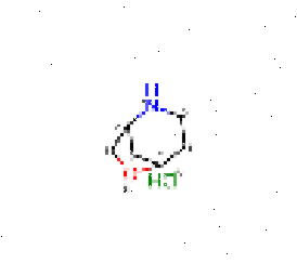 C1CC2CC(CO2)N1.Cl